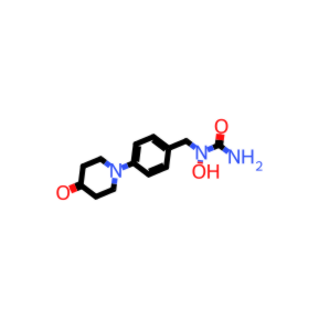 NC(=O)N(O)Cc1ccc(N2CCC(=O)CC2)cc1